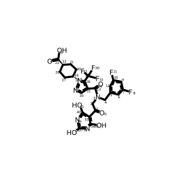 O=C(CN(Cc1cc(F)cc(F)c1)C(=O)c1cnn([C@H]2CC[C@H](C(=O)O)CC2)c1C(F)(F)F)c1c(O)nc(O)nc1O